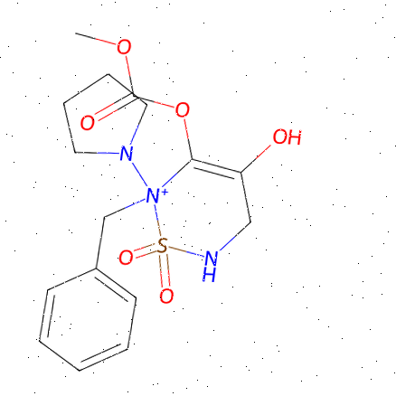 COC(=O)OC1=C(O)CNS(=O)(=O)[N+]1(Cc1ccccc1)N1CCCC1